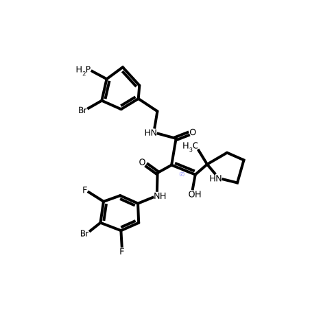 CC1(/C(O)=C(\C(=O)NCc2ccc(P)c(Br)c2)C(=O)Nc2cc(F)c(Br)c(F)c2)CCCN1